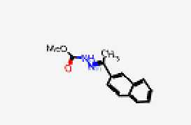 COC(=O)N/N=C(\C)c1ccc2ccccc2c1